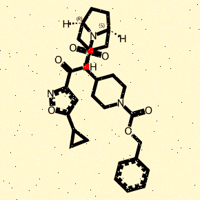 O=C(N[C@H]1C[C@H]2CC[C@@H](C1)N2S(=O)(=O)CC1CCN(C(=O)OCc2ccccc2)CC1)c1cc(C2CC2)on1